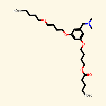 CCCCCCCCCCCCCCOCCCCOc1cc(CN(C)C)cc(OCCCCOC(=O)CCCCCCCCCCCCC)c1